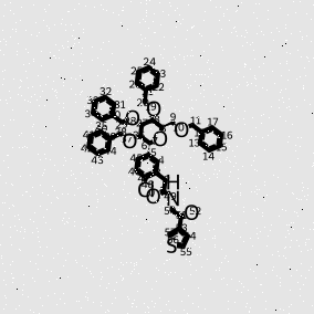 O=C(Cc1cc([C@H]2O[C@H](COCc3ccccc3)[C@@H](OCc3ccccc3)[C@H](OCc3ccccc3)C2OCc2ccccc2)ccc1Cl)NCC(=O)c1ccsc1